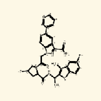 Cc1c(C(C)NC(=O)C2CC(F)CN2C(=O)Cn2nc(C(N)=O)c3cc(-c4cccnc4)ccc32)oc2ccc(F)cc12